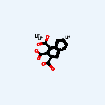 O=C([O-])c1cc2ccccc2c(C(=O)[O-])c1C(=O)[O-].[Li+].[Li+].[Li+]